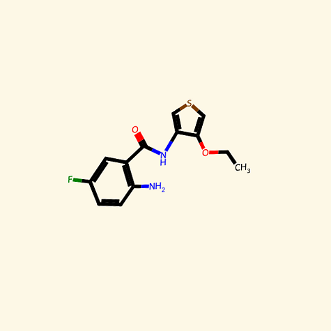 CCOc1cscc1NC(=O)c1cc(F)ccc1N